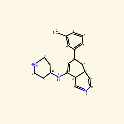 N#Cc1cccc(C2C=C(NC3CCNCC3)C3C=NC=CC3C2)c1